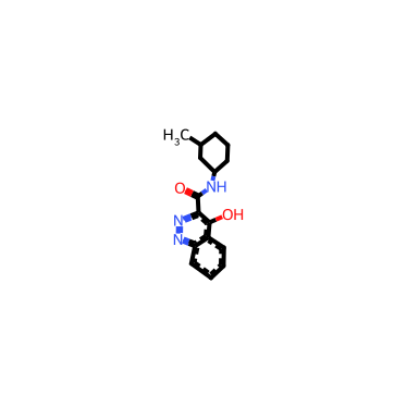 CC1CCCC(NC(=O)c2nnc3ccccc3c2O)C1